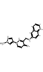 Cn1cc(-n2ccc(=O)c(COc3ccc4ncccc4c3)n2)cn1